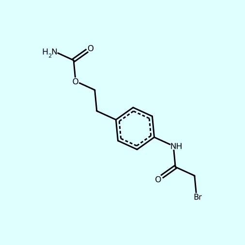 NC(=O)OCCc1ccc(NC(=O)CBr)cc1